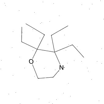 CCC1(CC)[N]CCOC1(CC)CC